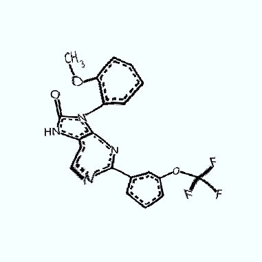 COc1ccccc1-n1c(=O)[nH]c2cnc(-c3cccc(OC(F)(F)F)c3)nc21